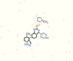 Cc1ccc2[nH]ncc2c1-c1ccc2c(N3CCNCC3)nc(OC[C@@H]3C[C@@H](F)CN3C)nc2c1